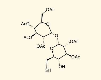 CC(=O)OC[C@H]1O[C@H](O[C@H]2O[C@H](CS)[C@@H](O)[C@H](OC(C)=O)[C@H]2OC(C)=O)[C@H](OC(C)=O)[C@@H](OC(C)=O)[C@@H]1OC(C)=O